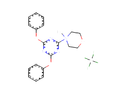 CC[N+]1(c2nc(Oc3ccccc3)nc(Oc3ccccc3)n2)CCOCC1.F[B-](F)(F)F